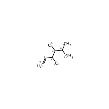 C=CC(Cl)C(Cl)C(C)[SiH3]